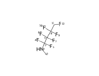 CNC(F)(F)C(F)(F)C(F)(F)CF